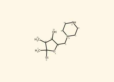 CCC1(C)OC(CN2CCNCC2)C(O)C1C